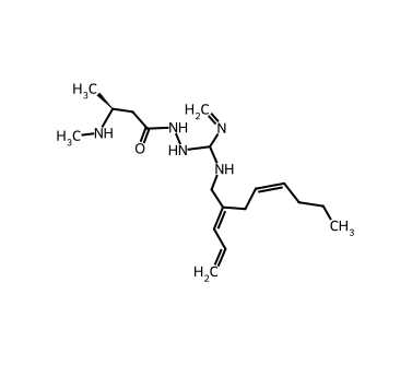 C=C/C=C(\C/C=C\CCC)CNC(N=C)NNC(=O)C[C@H](C)NC